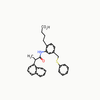 CC(C(=O)Nc1cc(CSc2ccccc2)ccc1CCCC(=O)O)c1cccc2ccccc12